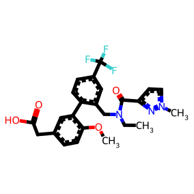 CCN(Cc1cc(C(F)(F)F)ccc1-c1cc(CC(=O)O)ccc1OC)C(=O)c1ccn(C)n1